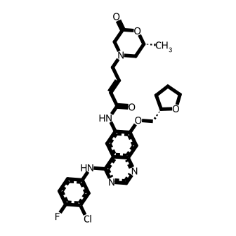 C[C@@H]1CN(C/C=C/C(=O)Nc2cc3c(Nc4ccc(F)c(Cl)c4)ncnc3cc2OC[C@@H]2CCCO2)CC(=O)O1